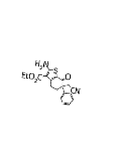 CCOC(=O)c1c(N)sc2c1CCC(CC#N)(c1ccccc1)C2=O